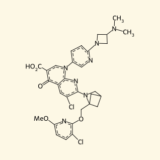 COc1ccc(Cl)c(OCC23CC(CN2c2nc4c(cc2Cl)c(=O)c(C(=O)O)cn4-c2ccc(N4CC(N(C)C)C4)nc2)C3)n1